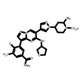 CNC(=O)c1cc(C)c(F)c(-c2cnn3cc(-c4cnn(C5CCN(C(=O)O)C(C(C)(C)C)C5)c4)c(NC4CCOC4)nc23)c1